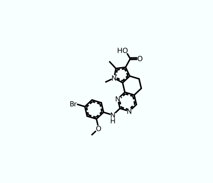 COc1cc(Br)ccc1Nc1ncc2c(n1)-c1c(c(C(=O)O)c(C)n1C)CC2